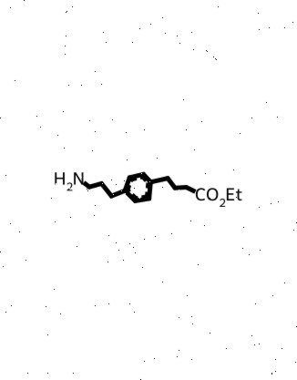 CCOC(=O)CCCc1ccc(CCCN)cc1